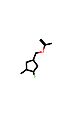 C=C(C)OCC1CC(C)C(F)C1